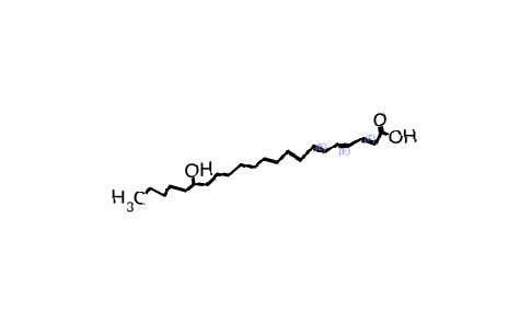 CCCCCC(O)CCCCCCCCC/C=C/C=C/C=C/C(=O)O